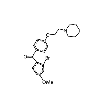 COc1ccc(C(=O)c2ccc(OCCN3CCCCC3)cc2)c(Br)c1